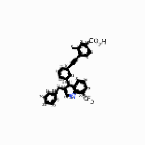 Cc1cc(C(=O)O)ccc1C#Cc1cccc(-c2c(Cc3ccccc3)cnc3c(C(F)(F)F)cccc23)c1